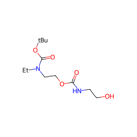 CCN(CCOC(=O)NCCO)C(=O)OC(C)(C)C